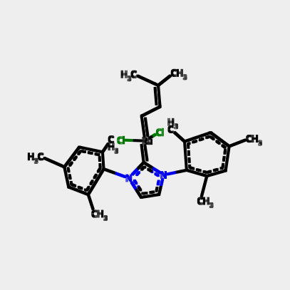 CC(C)=C[CH]=[Ru]([Cl])([Cl])=[c]1n(-c2c(C)cc(C)cc2C)ccn1-c1c(C)cc(C)cc1C